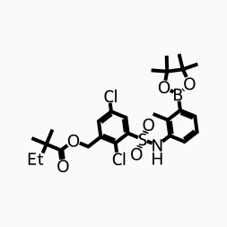 CCC(C)(C)C(=O)OCc1cc(Cl)cc(S(=O)(=O)Nc2cccc(B3OC(C)(C)C(C)(C)O3)c2C)c1Cl